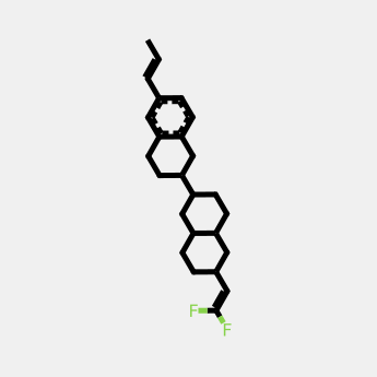 CC=Cc1ccc2c(c1)CCC(C1CCC3CC(C=C(F)F)CCC3C1)C2